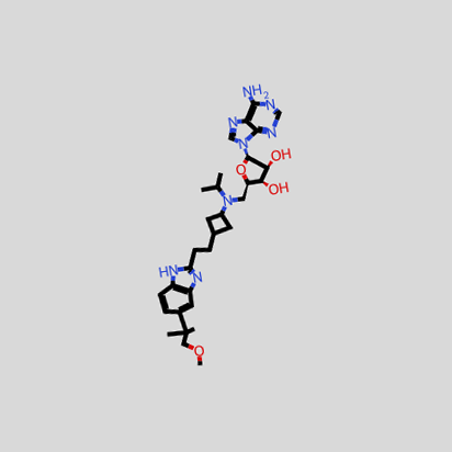 COCC(C)(C)c1ccc2[nH]c(CCC3CC(N(C[C@H]4O[C@@H](n5cnc6c(N)ncnc65)[C@@H](O)[C@H]4O)C(C)C)C3)nc2c1